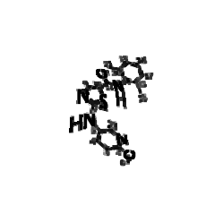 COc1ccc(Nc2ncc(C(=O)Nc3c(C)cccc3C)s2)cn1